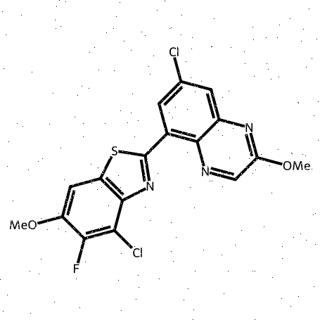 COc1cnc2c(-c3nc4c(Cl)c(F)c(OC)cc4s3)cc(Cl)cc2n1